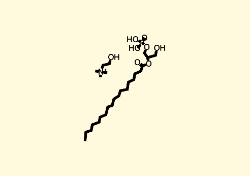 CCCCCCCCCCCCCCCCCC(=O)OC(CO)COP(=O)(O)O.C[N+](C)(C)CCO